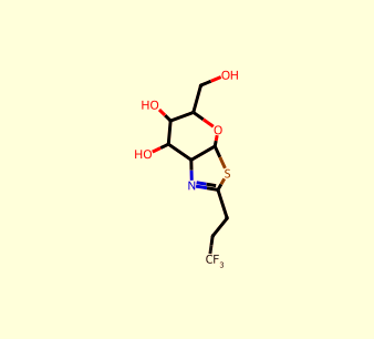 OCC1OC2SC(CCC(F)(F)F)=NC2C(O)C1O